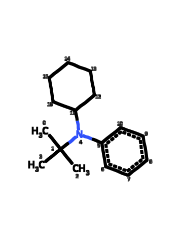 CC(C)(C)N(c1ccccc1)C1CCCCC1